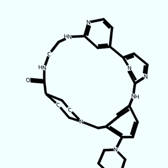 O=C1NCCNc2cc(ccn2)-c2ccnc(n2)Nc2ccc(N3CCOCC3)c(c2)CN2CCC1CC2